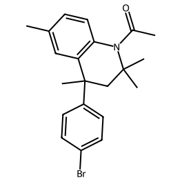 CC(=O)N1c2ccc(C)cc2C(C)(c2ccc(Br)cc2)CC1(C)C